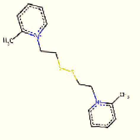 Cc1cccc[n+]1CCSSCC[n+]1ccccc1C